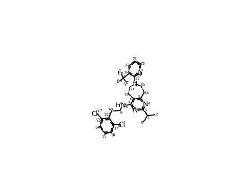 CC(C)c1nc2c(c(NCCc3c(Cl)cccc3Cl)n1)CCN(c1ncccc1C(F)(F)F)CC2